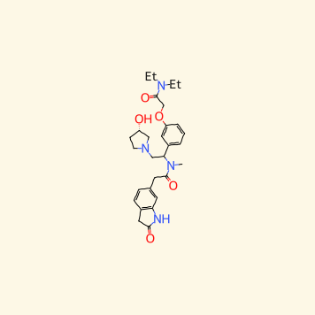 CCN(CC)C(=O)COc1cccc(C(CN2CC[C@H](O)C2)N(C)C(=O)Cc2ccc3c(c2)NC(=O)C3)c1